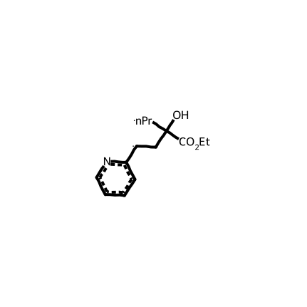 CC[CH]C(O)(C[CH]c1ccccn1)C(=O)OCC